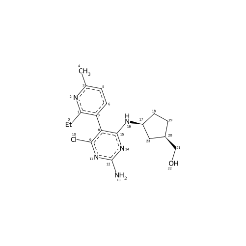 CCc1nc(C)ccc1-c1c(Cl)nc(N)nc1N[C@H]1CC[C@@H](CO)C1